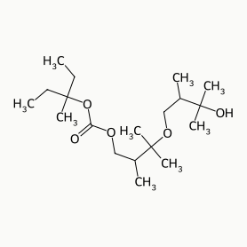 CCC(C)(CC)OC(=O)OCC(C)C(C)(C)OCC(C)C(C)(C)O